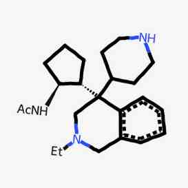 CCN1Cc2ccccc2C(C2CCNCC2)([C@H]2CCC[C@@H]2NC(C)=O)C1